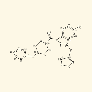 O=C(c1cn(CC2=NCCN2)c2cc(Br)ccc12)N1CCN(Cc2ccccc2)CC1